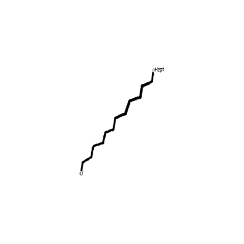 CCCCCCCCCCCCCCCCC[CH]CCl